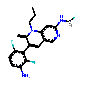 C=C1C(c2c(F)ccc(N)c2F)=Cc2cnc(NBF)cc2N1CCC